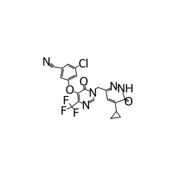 N#Cc1cc(Cl)cc(Oc2c(C(F)(F)F)ncn(Cc3cc(C4CC4)c(=O)[nH]n3)c2=O)c1